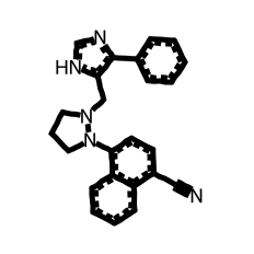 N#Cc1ccc(N2CCCN2Cc2[nH]cnc2-c2ccccc2)c2ccccc12